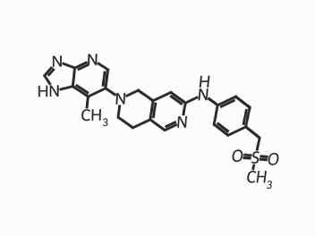 Cc1c(N2CCc3cnc(Nc4ccc(CS(C)(=O)=O)cc4)cc3C2)cnc2nc[nH]c12